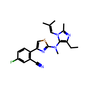 CCc1nc(C)n(C=C(C)C)c1N(C)c1nc(-c2ccc(F)cc2C#N)cs1